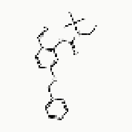 CCN(C(=O)Oc1cc(OCc2ccccc2)ccc1C=O)C(C)(C)C